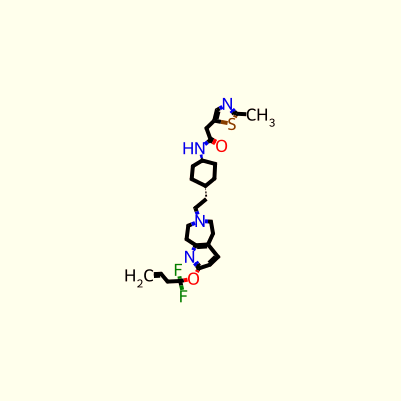 C=CCC(F)(F)Oc1ccc2c(n1)CCN(CC[C@H]1CC[C@H](NC(=O)Cc3cnc(C)s3)CC1)CC2